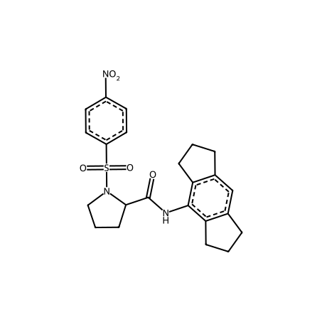 O=C(Nc1c2c(cc3c1CCC3)CCC2)C1CCCN1S(=O)(=O)c1ccc([N+](=O)[O-])cc1